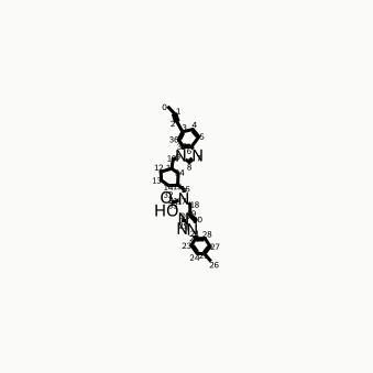 CC#Cc1ccc2ncn(CC3CCCC(CN(Cc4cn(-c5ccc(C)cc5)nn4)C(=O)O)C3)c2c1